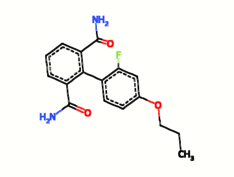 CCCOc1ccc(-c2c(C(N)=O)cccc2C(N)=O)c(F)c1